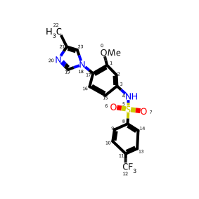 COc1cc(NS(=O)(=O)c2ccc(C(F)(F)F)cc2)ccc1-n1cnc(C)c1